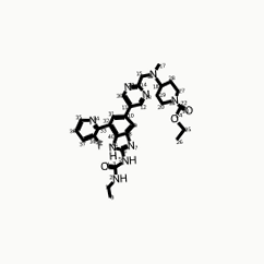 CCNC(=O)Nc1nc2cc(-c3cnc(CN(C)C4CCN(C(=O)OCC)CC4)nc3)cc(-c3ncccc3F)c2[nH]1